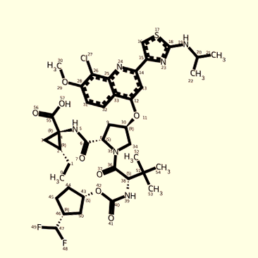 CC[C@@H]1C[C@]1(NC(=O)[C@@H]1C[C@@H](Oc2cc(-c3csc(NC(C)C)n3)nc3c(Cl)c(OC)ccc23)CN1C(=O)[C@@H](NC(=O)O[C@H]1CC[C@@H](C(F)F)C1)C(C)(C)C)C(=O)O